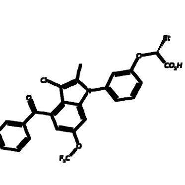 CC[C@@H](Oc1cccc(-n2c(C)c(Cl)c3c(C(=O)c4ccccc4)cc(OC(F)(F)F)cc32)c1)C(=O)O